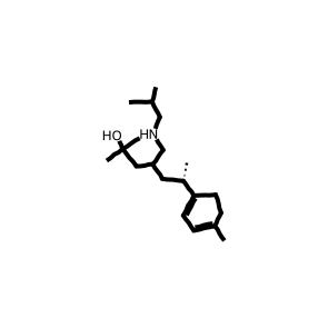 CC1=CC=C([C@@H](C)CC(CNCC(C)C)CC(C)(C)O)CC1